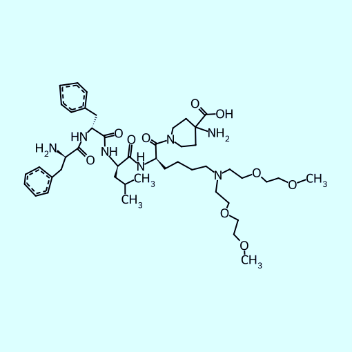 COCCOCCN(CCCC[C@@H](NC(=O)[C@@H](CC(C)C)NC(=O)[C@@H](Cc1ccccc1)NC(=O)[C@H](N)Cc1ccccc1)C(=O)N1CCC(N)(C(=O)O)CC1)CCOCCOC